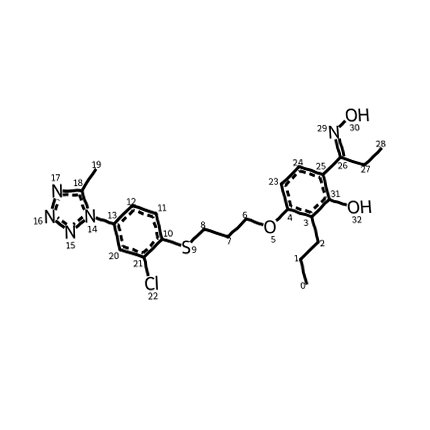 CCCc1c(OCCCSc2ccc(-n3nnnc3C)cc2Cl)ccc(C(CC)=NO)c1O